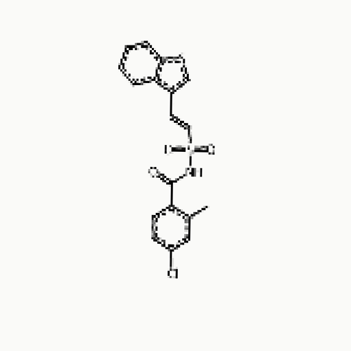 Cc1cc(Cl)ccc1C(=O)NS(=O)(=O)C=Cc1csc2ccccc12